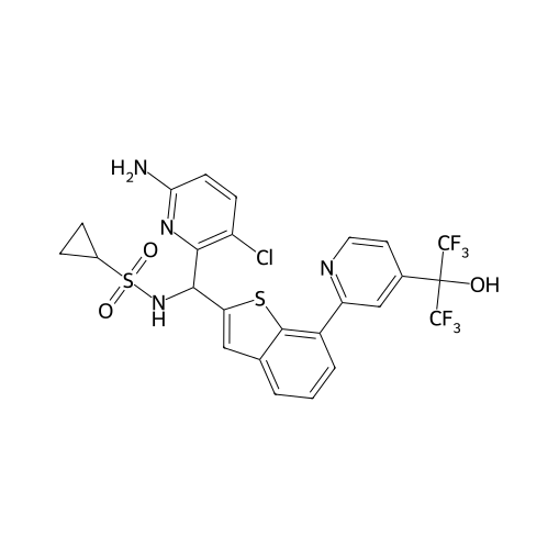 Nc1ccc(Cl)c(C(NS(=O)(=O)C2CC2)c2cc3cccc(-c4cc(C(O)(C(F)(F)F)C(F)(F)F)ccn4)c3s2)n1